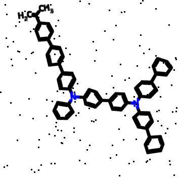 C=C(C)c1ccc(-c2ccc(-c3ccc(N(c4ccccc4)c4ccc(-c5ccc(N(c6ccc(-c7ccccc7)cc6)c6ccc(-c7ccccc7)cc6)cc5)cc4)cc3)cc2)cc1